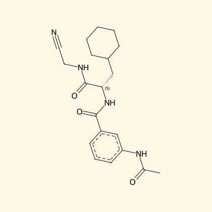 CC(=O)Nc1cccc(C(=O)N[C@@H](CC2CCCCC2)C(=O)NCC#N)c1